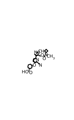 CN(C(=O)OCc1c(-c2ccc(O[C@H]3CCC[C@H](C(=O)O)C3)c(C#N)n2)cnn1C)C1CCC1